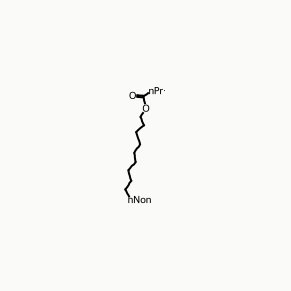 CC[CH]C(=O)OCCCCCCCCCCCCCCCCCC